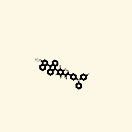 [2H]/C(=C(/[2H])c1c(F)c(F)c(-c2c3ccccc3c(-c3ccc(C)c4ccccc34)c3ccccc23)c(F)c1F)c1ccc(N(c2ccccc2)c2ccc(F)cc2)cc1